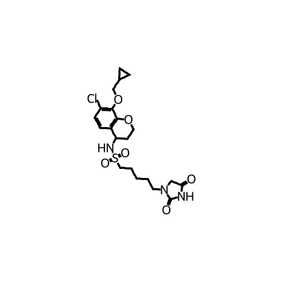 O=C1CN(CCCCCS(=O)(=O)NC2CCOc3c2ccc(Cl)c3OCC2CC2)C(=O)N1